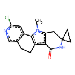 Cn1c2c(c3c1-c1cc(Cl)ncc1CC3)C(=O)NC1(CC1)C2